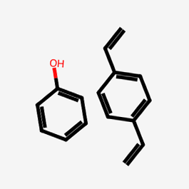 C=Cc1ccc(C=C)cc1.Oc1ccccc1